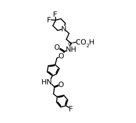 O=C(Cc1ccc(F)cc1)Nc1ccc(COC(=O)N[C@@H](CCN2CCC(F)(F)CC2)C(=O)O)cc1